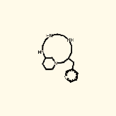 c1cncc(CC2CCNCCNCCNC3CCCN(C2)C3)c1